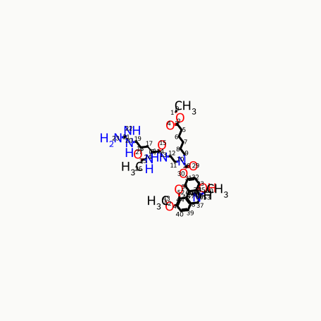 CCOC(=O)CCCCCN(CCNC(=O)[C@H](CCCNC(=N)N)NC(C)=O)C(=O)OC1=CCC2(O)[C@H]3Cc4ccc(OC)c5c4[C@@]2(CCN3C)C1O5